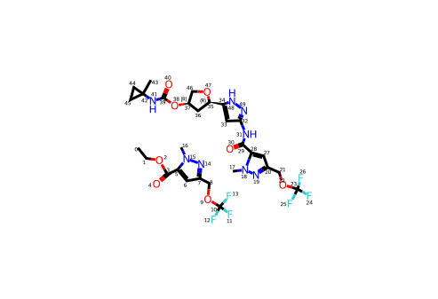 CCOC(=O)c1cc(COC(F)(F)F)nn1C.Cn1nc(COC(F)(F)F)cc1C(=O)Nc1cc([C@H]2C[C@@H](OC(=O)NC3(C)CC3)CO2)[nH]n1